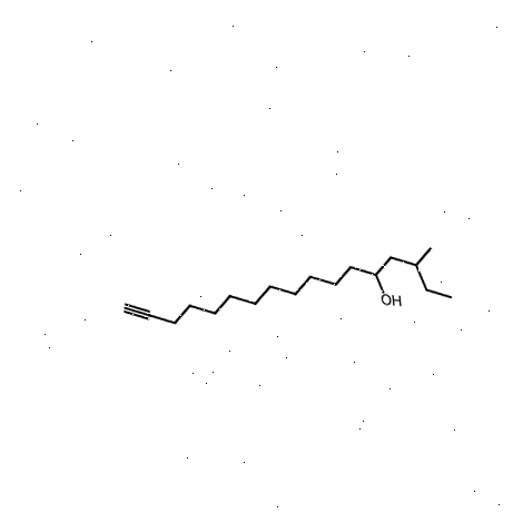 C#CCCCCCCCCCCC(O)CC(C)CC